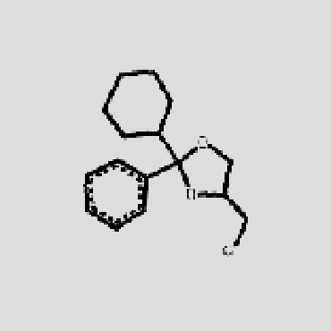 ClCC1COC(c2ccccc2)(C2CCCCC2)O1